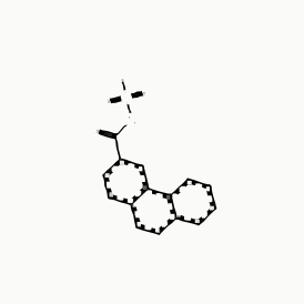 O=C(NS(=O)(=O)C(F)(F)F)c1ccc2ccc3ccccc3c2c1